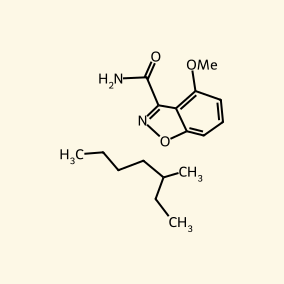 CCCCC(C)CC.COc1cccc2onc(C(N)=O)c12